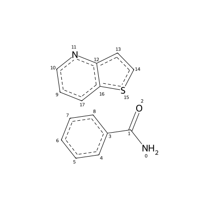 NC(=O)c1ccccc1.c1cnc2ccsc2c1